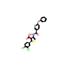 O=C(Nc1csc(-c2ccc(Cl)c(Cl)c2)c1C(=O)O)c1ccc(Oc2ccccc2)nc1